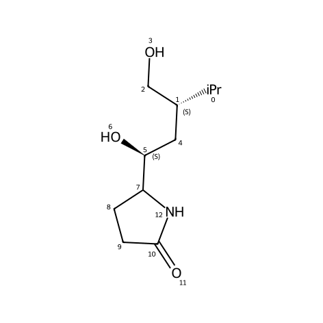 CC(C)[C@@H](CO)C[C@H](O)C1CCC(=O)N1